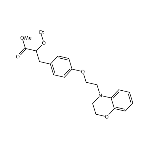 CCOC(Cc1ccc(OCCN2CCOc3ccccc32)cc1)C(=O)OC